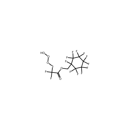 O=C(OCC1(F)C(F)(F)C(F)(F)C(F)(F)C(F)(F)C1(F)F)C(F)(F)SOOO